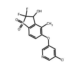 Cc1c(Oc2cncc(Cl)c2)ccc2c1C(O)C(F)(F)S2(=O)=O